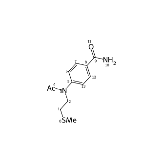 CSCCN(C(C)=O)c1ccc(C(N)=O)cc1